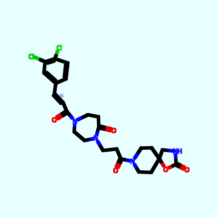 O=C1NCC2(CCN(C(=O)CCN3CCN(C(=O)/C=C/c4ccc(Cl)c(Cl)c4)CCC3=O)CC2)O1